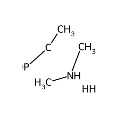 CC[P].CNC.[HH]